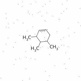 CC1C=[C]CC(C)C1C